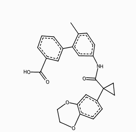 Cc1ccc(NC(=O)C2(c3ccc4c(c3)OCCO4)CC2)cc1-c1cccc(C(=O)O)c1